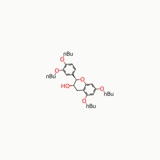 CCCCOc1cc(OCCCC)c2c(c1)O[C@H](c1ccc(OCCCC)c(OCCCC)c1)[C@H](O)C2